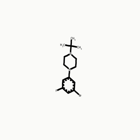 CC(C)(C)N1CCN(c2cc(F)cc(Br)c2)CC1